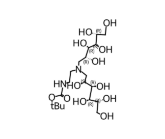 CC(C)(C)OC(=O)NCCN(C[C@@H](O)[C@@H](O)[C@H](O)[C@H](O)CO)C[C@H](O)[C@@H](O)[C@H](O)[C@H](O)CO